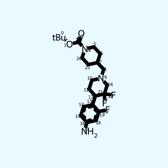 CC(C)(C)OC(=O)N1CCC(CN2CCC(c3ccc(N)cc3F)C(F)(F)C2)CC1